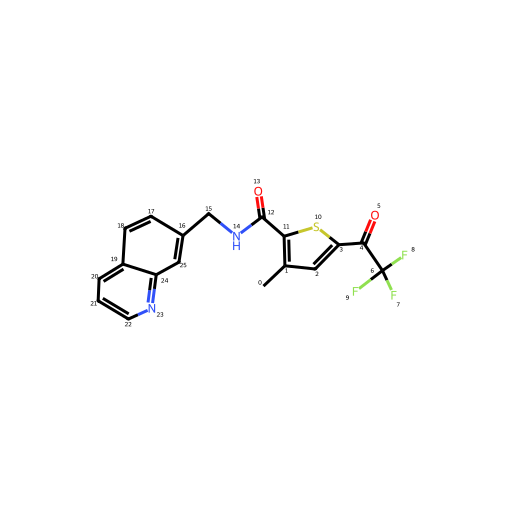 Cc1cc(C(=O)C(F)(F)F)sc1C(=O)NCc1ccc2cccnc2c1